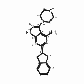 Nc1nc(C2Cc3ccccc3C2)nc2[nH]nc(N3CCOCC3)c12